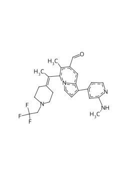 CNc1cc(-c2ccn3c(C(C)=C4CCN(CC(F)(F)F)CC4)c(C)c(C=O)cc23)ccn1